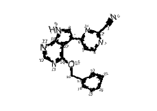 N#Cc1nccc(-c2c[nH]c3ncnc(OCc4ccccc4)c23)n1